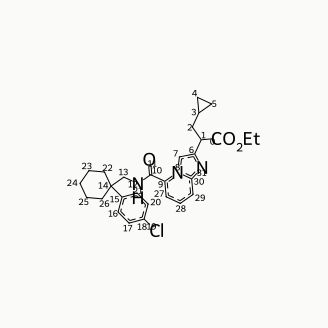 CCOC(=O)C(CC1CC1)c1cn2c(C(=O)NCC3(c4ccc(Cl)cc4)CCCCC3)cccc2n1